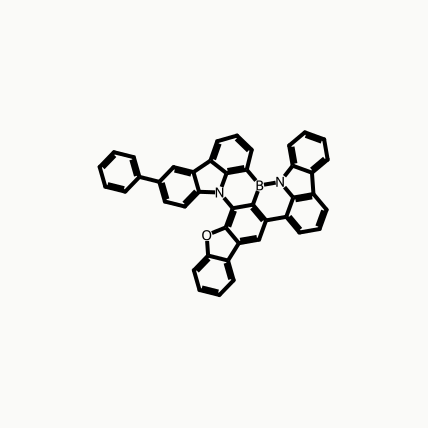 c1ccc(-c2ccc3c(c2)c2cccc4c2n3-c2c3c(cc5c2oc2ccccc25)-c2cccc5c6ccccc6n(c25)B34)cc1